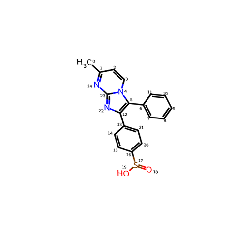 Cc1ccn2c(-c3ccccc3)c(-c3ccc(S(=O)O)cc3)nc2n1